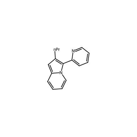 CCCc1cc2ccccn2c1-c1ccccn1